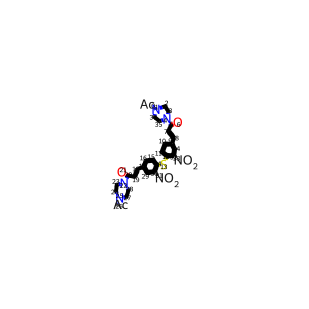 CC(=O)N1CCN(C(=O)/C=C/c2ccc(Sc3ccc(/C=C/C(=O)N4CCN(C(C)=O)CC4)cc3[N+](=O)[O-])c([N+](=O)[O-])c2)CC1